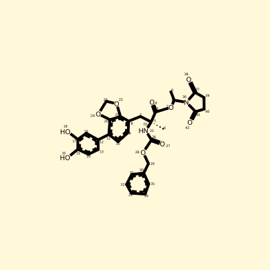 CC(OC(=O)[C@](C)(Cc1ccc(-c2ccc(O)c(O)c2)c2c1OCO2)NC(=O)OCc1ccccc1)N1C(=O)CCC1=O